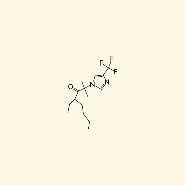 CCCCC(CC)C(=O)C(C)(C)n1cnc(C(F)(F)F)c1